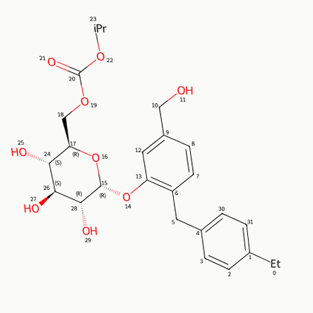 CCc1ccc(Cc2ccc(CO)cc2O[C@H]2O[C@H](COC(=O)OC(C)C)[C@@H](O)[C@H](O)[C@H]2O)cc1